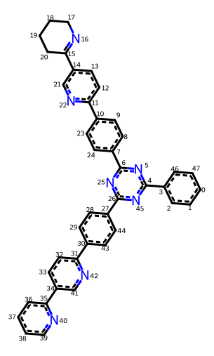 c1ccc(-c2nc(-c3ccc(-c4ccc(C5=NCCCC5)cn4)cc3)nc(-c3ccc(-c4ccc(-c5ccccn5)cn4)cc3)n2)cc1